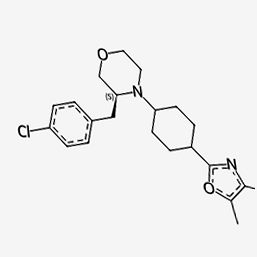 Cc1nc(C2CCC(N3CCOC[C@@H]3Cc3ccc(Cl)cc3)CC2)oc1C